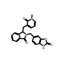 Cn1cccc(CC2c3ccccc3C(=O)N2Cc2ccc3[nH]c(=O)oc3c2)c1=O